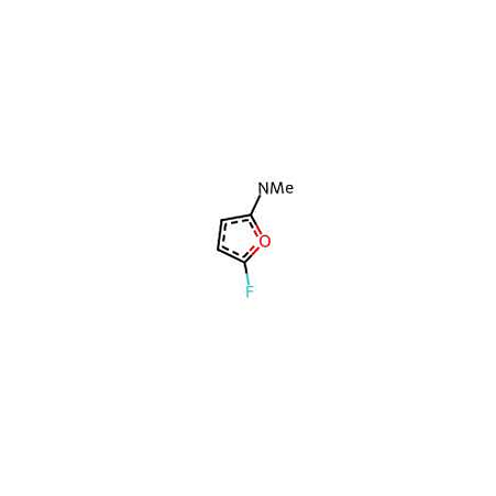 CNc1ccc(F)o1